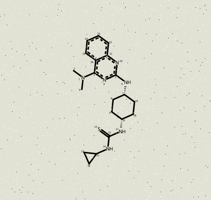 CN(C)c1nc(N[C@H]2CC[C@@H](NC(=S)NC3CC3)CC2)nc2ccccc12